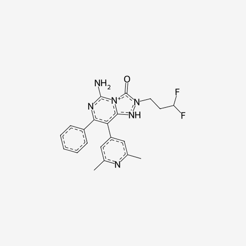 Cc1cc(-c2c(-c3ccccc3)nc(N)[n+]3c(=O)n(CCC(F)F)[nH]c23)cc(C)n1